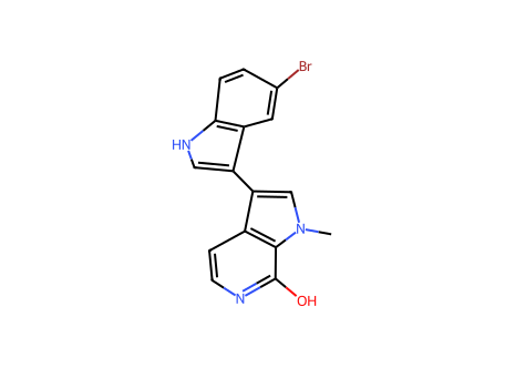 Cn1cc(-c2c[nH]c3ccc(Br)cc23)c2ccnc(O)c21